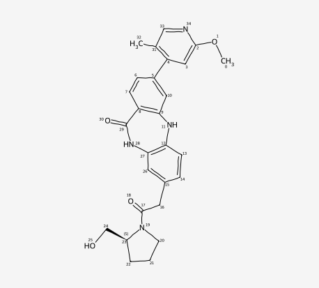 COc1cc(-c2ccc3c(c2)Nc2ccc(CC(=O)N4CCC[C@H]4CO)cc2NC3=O)c(C)cn1